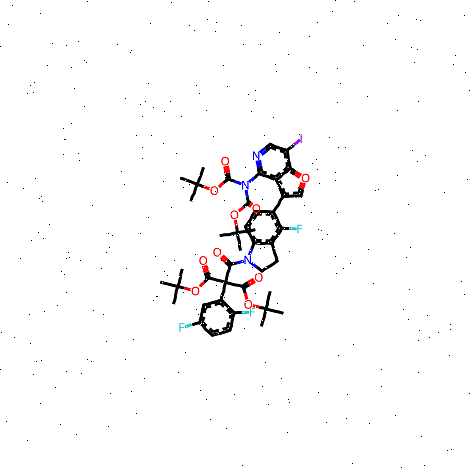 CC(C)(C)OC(=O)N(C(=O)OC(C)(C)C)c1ncc(I)c2occ(-c3ccc4c(c3F)CCN4C(=O)C(C(=O)OC(C)(C)C)(C(=O)OC(C)(C)C)c3cc(F)ccc3F)c12